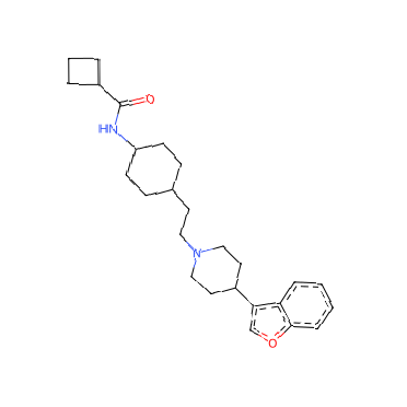 O=C(NC1CCC(CCN2CCC(c3coc4ccccc34)CC2)CC1)C1CCC1